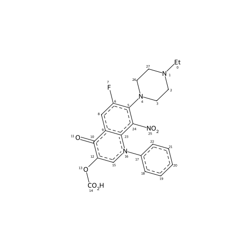 CCN1CCN(c2c(F)cc3c(=O)c(OC(=O)O)cn(-c4ccccc4)c3c2[N+](=O)[O-])CC1